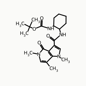 Cc1cn(C)c(=O)c2c(C(=O)NC3CCCCC3NC(=O)OC(C)(C)C)cn(C)c12